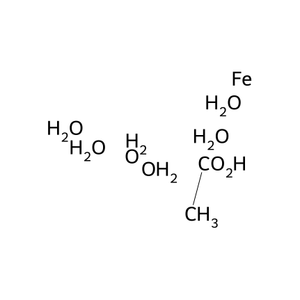 CC(=O)O.O.O.O.O.O.O.[Fe]